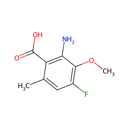 COc1c(F)cc(C)c(C(=O)O)c1N